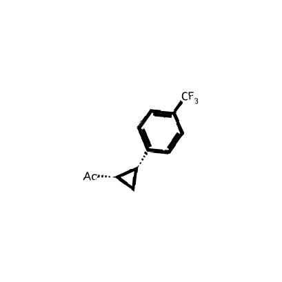 CC(=O)[C@H]1C[C@H]1c1ccc(C(F)(F)F)cc1